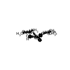 CCC(=O)NCCNC(=O)/N=C(/N)NCCC[C@@H](NC(=O)C(c1ccccc1)c1ccc(OCCCNC(=O)OC(C)(C)C)cc1)C(=O)NCc1ccc(O)cc1